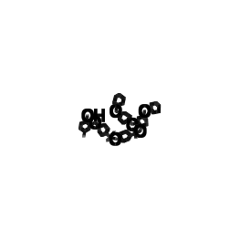 Cc1ccc(O)c(Oc2ccc(C(C)(C)Oc3ccc(C(C)(C)Oc4ccc(Oc5ccccc5)cc4Oc4ccc(Oc5ccccc5)cc4)cc3)cc2)c1